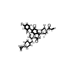 C=CC(=O)N1C[C@H](C)N(c2nc(=O)n3c4c(c(-c5ccc(F)cc5F)c(Cl)cc24)SC[C@@H]3CC2CCN(C3CC3)CC2)C[C@H]1C